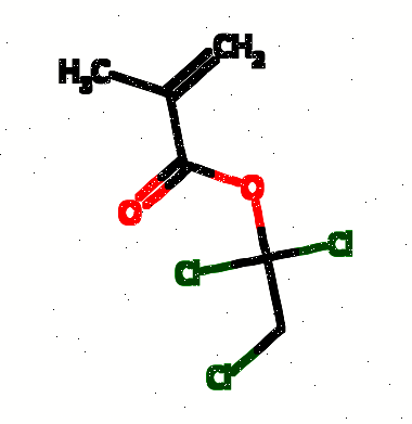 C=C(C)C(=O)OC(Cl)(Cl)CCl